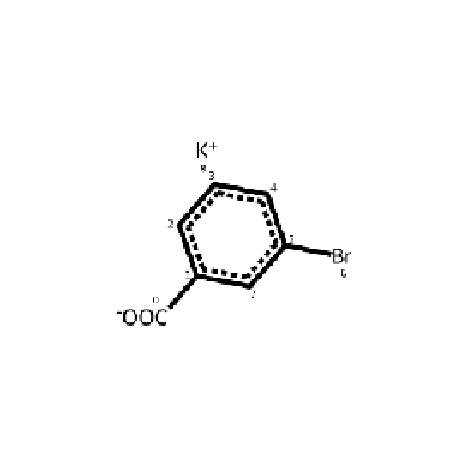 O=C([O-])c1cccc(Br)c1.[K+]